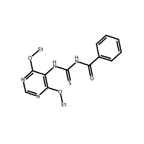 CCOc1ncnc(OCC)c1NC(=S)NC(=O)c1ccccc1